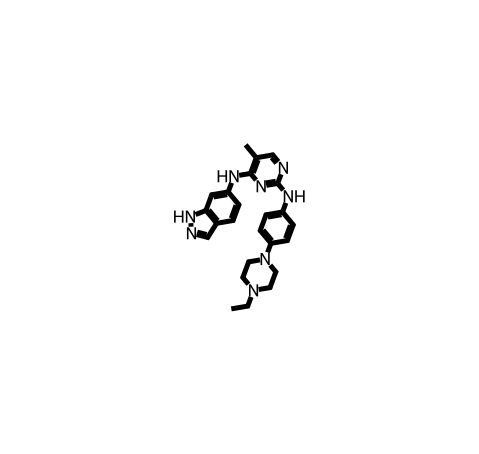 CCN1CCN(c2ccc(Nc3ncc(C)c(Nc4ccc5cn[nH]c5c4)n3)cc2)CC1